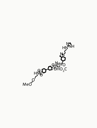 COCCOCCCNS(=O)(=O)c1ccc(-c2ccc(S(=O)(=O)NC(CNC(=O)c3ccc4c(cnn4CCCNc4ncc[nH]4)c3)C(=O)O)cc2)cc1